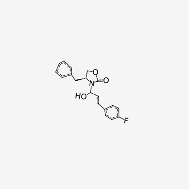 O=C1OC[C@H](Cc2ccccc2)N1C(O)/C=C/c1ccc(F)cc1